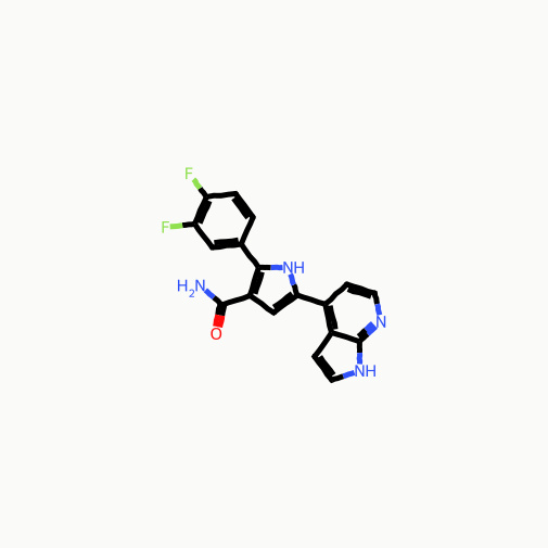 NC(=O)c1cc(-c2ccnc3[nH]ccc23)[nH]c1-c1ccc(F)c(F)c1